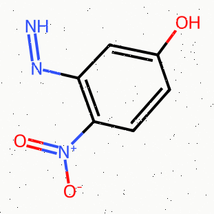 N=Nc1cc(O)ccc1[N+](=O)[O-]